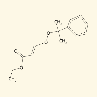 [CH2]COC(=O)C=COOC(C)(C)c1ccccc1